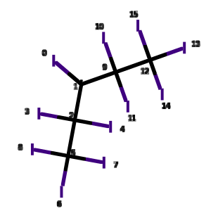 I[C](C(I)(I)C(I)(I)I)C(I)(I)C(I)(I)I